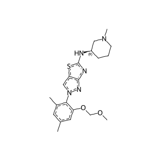 COCOc1cc(C)cc(C)c1-n1cc2sc(N[C@@H]3CCCN(C)C3)nc2n1